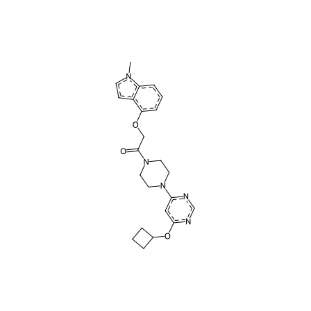 Cn1ccc2c(OCC(=O)N3CCN(c4cc(OC5CCC5)ncn4)CC3)cccc21